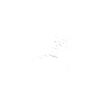 CCCCCCCCCCCC#CC1=C(c2cc(CCCCC)c(CCCCC)c(CCCCC)c2)[N+](=[N-])C(c2cc(CCCCC)c(CCCCC)c(CCCCC)c2)=C1CCCCC.CCCCCCCCCCCCCC#[C][Ni][C]#CCCCCCCCCCCCCC